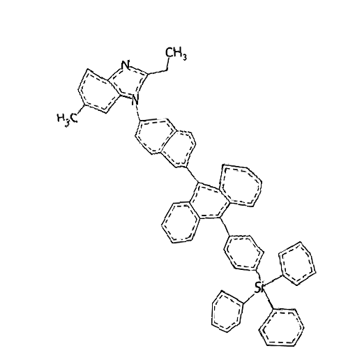 CCc1nc2ccc(C)cc2n1-c1ccc2cc(-c3c4ccccc4c(-c4ccc([Si](c5ccccc5)(c5ccccc5)c5ccccc5)cc4)c4ccccc34)ccc2c1